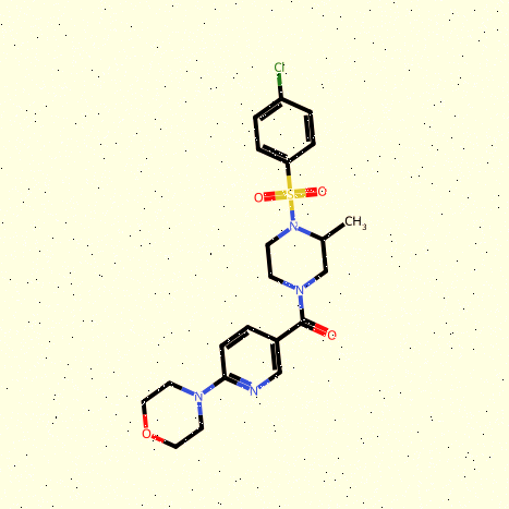 CC1CN(C(=O)c2ccc(N3CCOCC3)nc2)CCN1S(=O)(=O)c1ccc(Cl)cc1